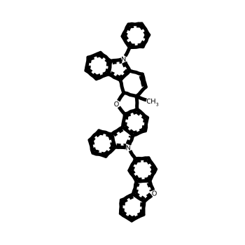 CC12C=Cc3c(c4ccccc4n3-c3ccccc3)C1Oc1c2ccc2c1c1ccccc1n2-c1ccc2oc3ccccc3c2c1